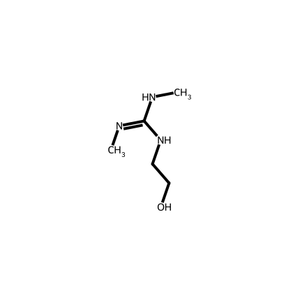 C/N=C(/NC)NCCO